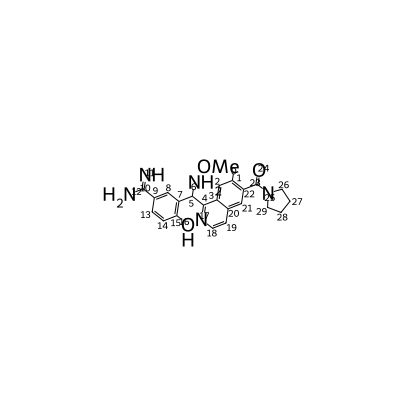 COc1cc2c(C(N)c3cc(C(=N)N)ccc3O)nccc2cc1C(=O)N1CCCC1